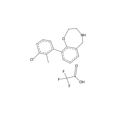 Cc1c(Cl)cccc1-c1cccc2c1OCCNC2.O=C(O)C(F)(F)F